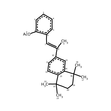 CC(=O)Oc1ccccc1/C=C(\C)c1ccc2c(c1)C(C)(C)CCC2(C)C